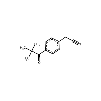 CC(C)(C)C(=O)c1ccc(CC#N)cc1